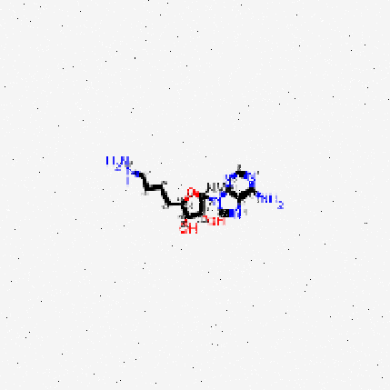 CN[C@@]1(n2cnc3c(N)ncnc32)O[C@H](CCCCNN)[C@@H](O)[C@H]1O